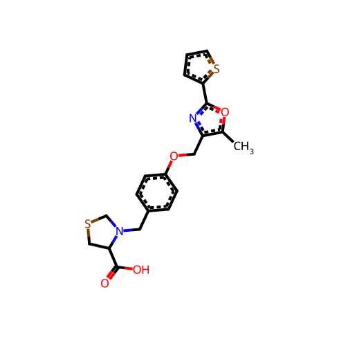 Cc1oc(-c2cccs2)nc1COc1ccc(CN2CSCC2C(=O)O)cc1